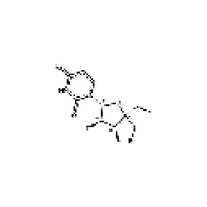 CC[C@@]1(CBr)O[C@@H](n2ccc(=O)[nH]c2=O)[C@H](F)[C@@H]1C